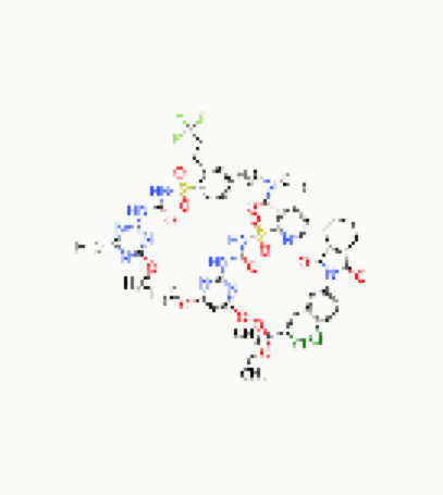 CCOC(=O)/C(Cl)=C/c1cc(N2C(=O)C3=C(CCCC3)C2=O)ccc1Cl.COc1cc(OC)nc(NC(=O)NS(=O)(=O)c2ncccc2C(=O)N(C)C)n1.COc1nc(C)nc(NC(=O)NS(=O)(=O)c2ccccc2CCC(F)(F)F)n1